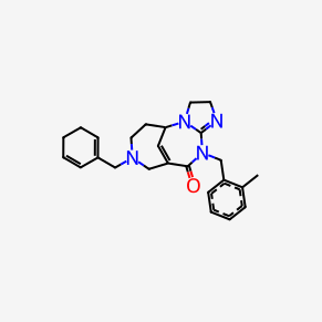 Cc1ccccc1CN1C(=O)C2=CC(CCN(CC3=CCCC=C3)C2)N2CCN=C12